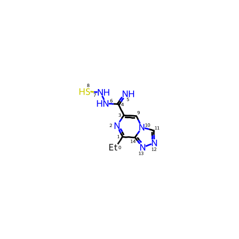 CCc1nc(C(=N)NNS)cn2cnnc12